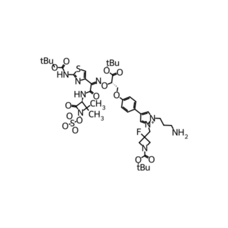 CC(C)(C)OC(=O)Nc1nc(/C(=N/O[C@@H](COc2ccc(-c3cn(CCCN)[n+](CC4(F)CN(C(=O)OC(C)(C)C)C4)c3)cc2)C(=O)OC(C)(C)C)C(=O)N[C@@H]2C(=O)N(OS(=O)(=O)[O-])C2(C)C)cs1